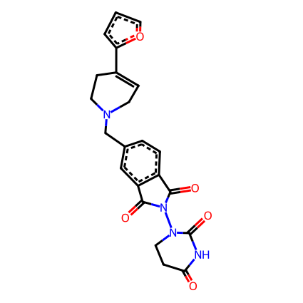 O=C1CCN(N2C(=O)c3ccc(CN4CC=C(c5ccco5)CC4)cc3C2=O)C(=O)N1